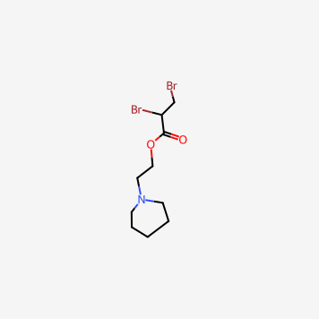 O=C(OCCN1CCCCC1)C(Br)CBr